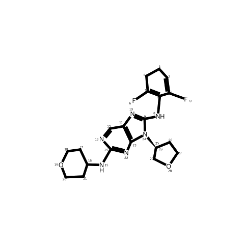 FC1=CCCC(F)=C1Nc1nc2cnc(NC3CCOCC3)nc2n1[C@H]1CCOC1